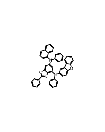 c1ccc(-c2nc3c(N(c4ccccc4)c4ccc5oc6ccccc6c5c4)cc(N(c4ccccc4)c4cccc5ccccc45)cc3o2)cc1